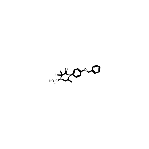 CCC1(C)C(=O)N(c2ccc(OCc3ccccc3)cc2)C(C)CN1C(=O)O